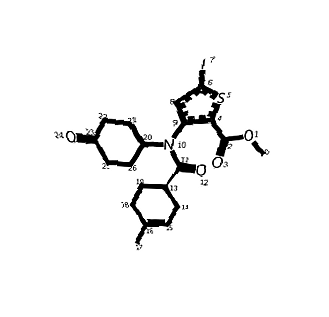 COC(=O)c1sc(I)cc1N(C(=O)[C@H]1CC=C(C)CC1)C1CCC(=O)CC1